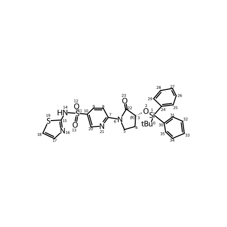 CC(C)(C)[Si](O[C@@H]1CCN(c2ccc(S(=O)(=O)Nc3nccs3)cn2)C1=O)(c1ccccc1)c1ccccc1